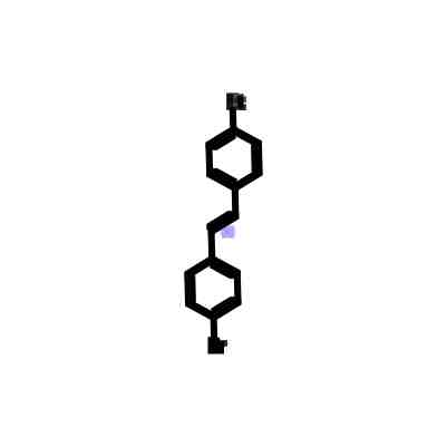 CCc1ccc(/C=C/c2ccc(Br)cc2)cc1